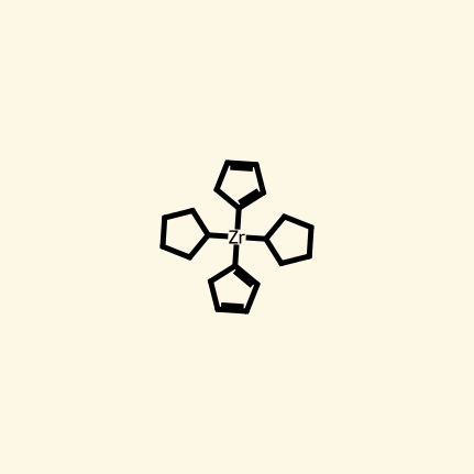 C1=CC[C]([Zr]([C]2=CC=CC2)([CH]2CCCC2)[CH]2CCCC2)=C1